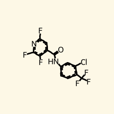 O=C(Nc1ccc(C(F)(F)F)c(Cl)c1)c1cc(F)nc(F)c1F